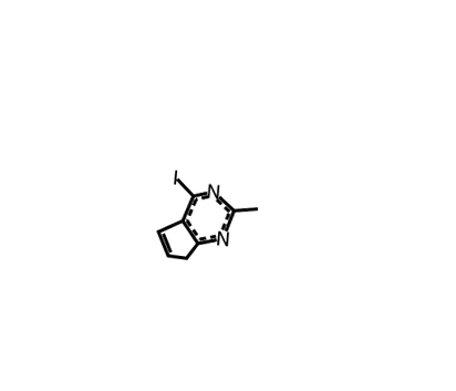 Cc1nc(I)c2c(n1)CC=C2